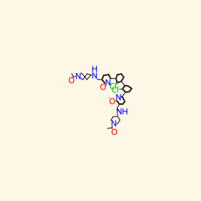 COc1nc(-c2cccc(-c3cccc(-c4ccc(CNC5CC6(C5)CN(C(C)=O)C6)c(OC)n4)c3Cl)c2Cl)ccc1CNC1CCN(C(C)=O)CC1